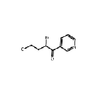 O=C(c1cccnc1)C(Br)CCCl